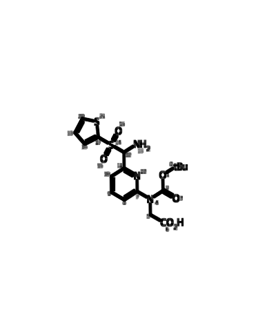 CC(C)(C)OC(=O)N(CC(=O)O)c1cccc(C(N)S(=O)(=O)c2cccs2)n1